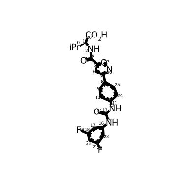 CC(C)[C@H](NC(=O)c1cc(-c2ccc(NC(=O)Nc3cc(F)cc(F)c3)cc2)no1)C(=O)O